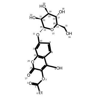 CCC(=O)Oc1c(O)c2ccc(O[C@H]3O[C@H](CO)[C@@H](O)[C@H](O)[C@@H]3O)cc2oc1=O